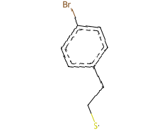 [S]CCc1ccc(Br)cc1